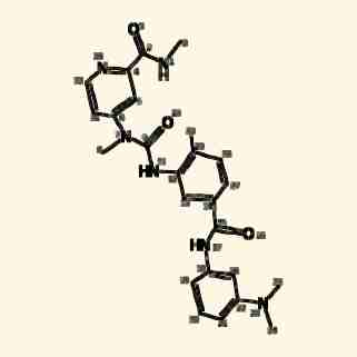 CNC(=O)c1cc(N(C)C(=O)Nc2cc(C(=O)Nc3cccc(N(C)C)c3)ccc2C)ccn1